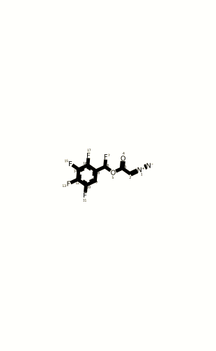 [N-]=[N+]=CC(=O)OC(F)c1cc(F)c(F)c(F)c1F